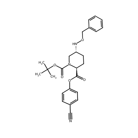 CC(C)(C)OC(=O)N1C[C@H](NOCc2ccccc2)CC[C@H]1C(=O)Oc1ccc(C#N)cc1